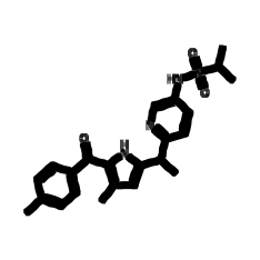 Cc1ccc(C(=O)c2[nH]c(C(C)c3ccc(NS(=O)(=O)C(C)C)cn3)cc2C)cc1